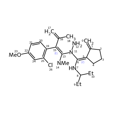 C=C1CCC/C1=C(\NC(CC)CC)N(N)/C(NC)=C(\C(=C)C)c1ccc(OC)cc1Cl